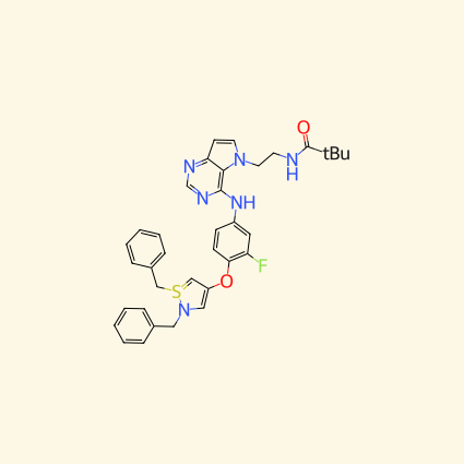 CC(C)(C)C(=O)NCCn1ccc2ncnc(Nc3ccc(OC4=CN(Cc5ccccc5)S(Cc5ccccc5)=C4)c(F)c3)c21